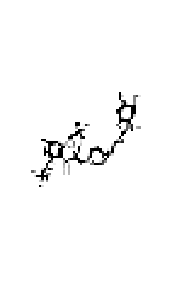 Cc1cc(OCC(F)(F)F)c(NC(=O)CN2CCN(CCSc3nc4cc(F)c(F)cc4[nH]3)CC2)c(OCC(F)(F)F)n1